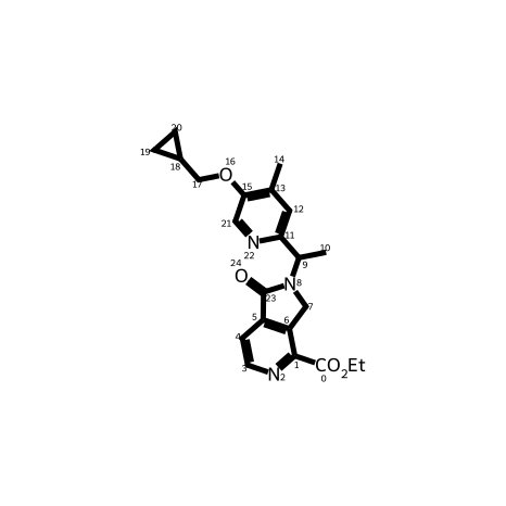 CCOC(=O)c1nccc2c1CN(C(C)c1cc(C)c(OCC3CC3)cn1)C2=O